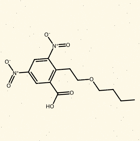 CCCCOCCc1c(C(=O)O)cc([N+](=O)[O-])cc1[N+](=O)[O-]